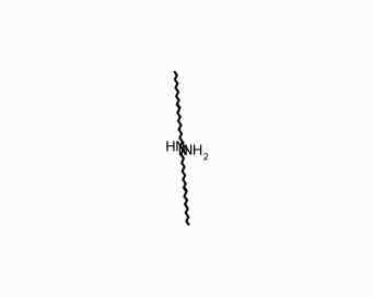 CCCCCCCCC=CCCCCCCCCNN(N)CCCCCCCCC=CCCCCCCCC